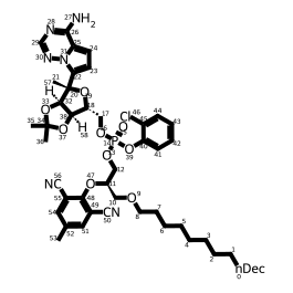 CCCCCCCCCCCCCCCCCCOC[C@H](COP(=O)(OC[C@H]1O[C@@](C)(c2ccc3c(N)ncnn23)[C@@H]2OC(C)(C)O[C@@H]21)Oc1ccccc1Cl)Oc1c(C#N)cc(C)cc1C#N